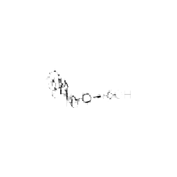 C[C@H](OC1CCCCO1)c1nccn1Cc1cc(-c2ccc(C#C[C@H]3C[C@@H](O)C3)cc2)on1